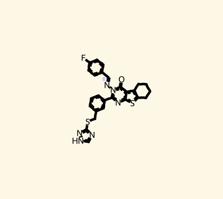 O=c1c2c3c(sc2nc(-c2cccc(CSc4nc[nH]n4)c2)n1/N=C/c1ccc(F)cc1)CCCC3